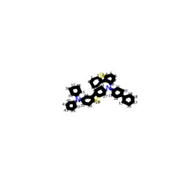 C1=Cc2sc3cccc(N(c4ccc(-c5ccccc5)cc4)c4ccc5c(c4)sc4ccc(N(c6ccccc6)c6ccccc6)cc45)c3c2CC1